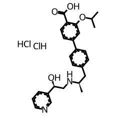 CC(C)Oc1cc(-c2ccc(C[C@@H](C)NC[C@H](O)c3cccnc3)cc2)ccc1C(=O)O.Cl.Cl